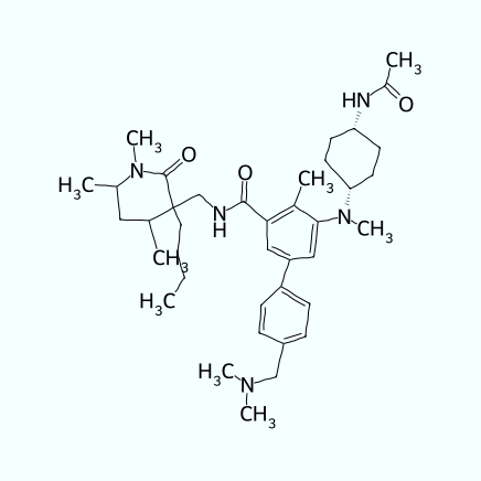 CCCCC1(CNC(=O)c2cc(-c3ccc(CN(C)C)cc3)cc(N(C)[C@H]3CC[C@@H](NC(C)=O)CC3)c2C)C(=O)N(C)C(C)CC1C